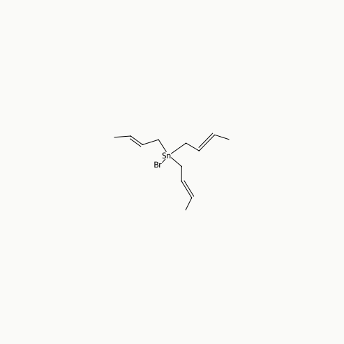 CC=C[CH2][Sn]([Br])([CH2]C=CC)[CH2]C=CC